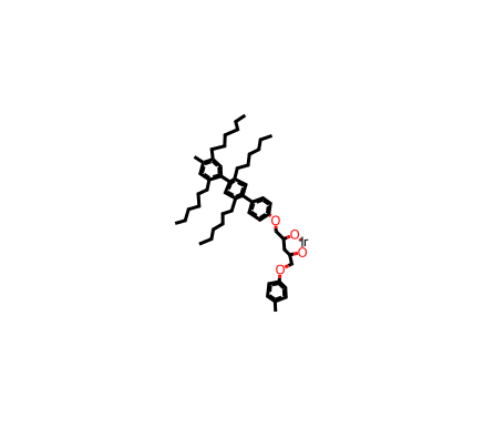 CCCCCCc1cc(-c2cc(CCCCCC)c(-c3ccc(OCC4CC(COc5ccc(C)cc5)[O][Ir][O]4)cc3)cc2CCCCCC)c(CCCCCC)cc1C